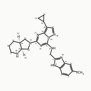 Cc1ccc2[nH]c(CNc3nc(N4C[C@@H]5CCCN[C@@H]5C4)nc4c(C5CC5)cnn34)nc2c1